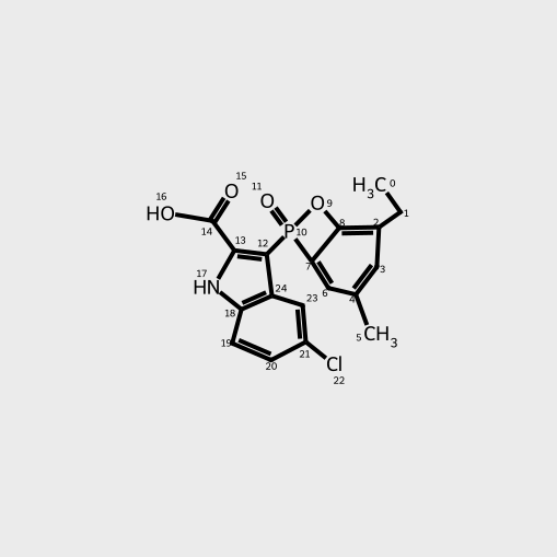 CCc1cc(C)cc2c1OP2(=O)c1c(C(=O)O)[nH]c2ccc(Cl)cc12